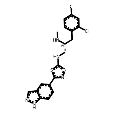 CN[C@@H](CNc1nnc(-c2ccc3[nH]ncc3c2)s1)Cc1ccc(Cl)cc1Cl